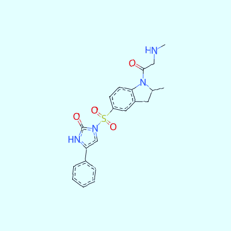 CNCC(=O)N1c2ccc(S(=O)(=O)n3cc(-c4ccccc4)[nH]c3=O)cc2CC1C